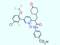 O=C1CCC(CC(C(=O)Nc2ccc(C(=O)O)cc2)c2ccc(-c3c(OC(F)F)ccc(Cl)c3F)c[n+]2[O-])CC1